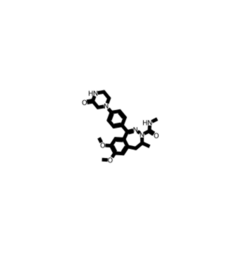 CNC(=O)N1N=C(c2ccc(N3CCNC(=O)C3)cc2)c2cc(OC)c(OC)cc2CC1C